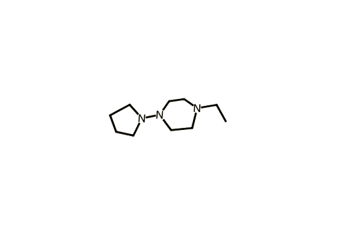 CCN1CCN(N2CCCC2)CC1